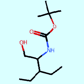 CCC(CC)C(CO)NC(=O)OC(C)(C)C